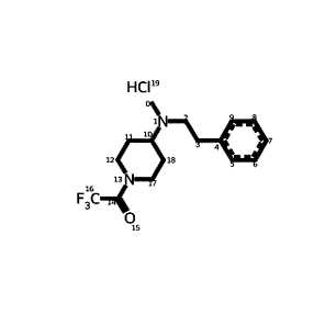 CN(CCc1ccccc1)C1CCN(C(=O)C(F)(F)F)CC1.Cl